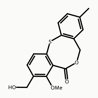 COc1c(CO)ccc2c1C(=O)OCc1cc(C)ccc1S2